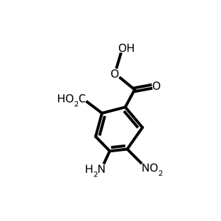 Nc1cc(C(=O)O)c(C(=O)OO)cc1[N+](=O)[O-]